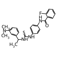 CC(NC(=S)Nc1ccc(NC(=O)c2ccccc2F)cc1)c1cccc(N(C)C)c1